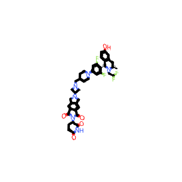 C[C@@H]1Cc2cc(O)ccc2[C@@H](c2c(F)cc(N3CCC(CN4CC(N5Cc6cc7c(cc6C5)C(=O)N(C5CCC(=O)NC5=O)C7=O)C4)CC3)cc2F)N1CC(F)F